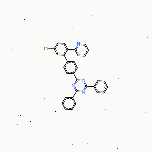 Clc1ccc(-c2ccccn2)c(-c2ccc(-c3nc(-c4ccccc4)nc(-c4ccccc4)n3)cc2)c1